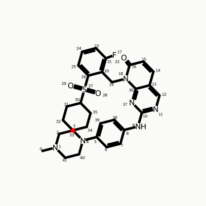 CN1CCN(c2ccc(Nc3ncc4ccc(=O)n(Cc5c(F)cccc5S(=O)(=O)C5CCCCC5)c4n3)cc2)CC1